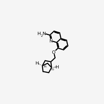 Nc1ccc2cccc(OCC3C[C@@H]4CC[C@H]3C4)c2n1